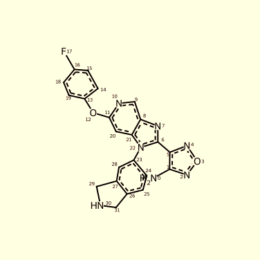 Nc1nonc1-c1nc2cnc(Oc3ccc(F)cc3)cc2n1-c1ccc2c(c1)CNC2